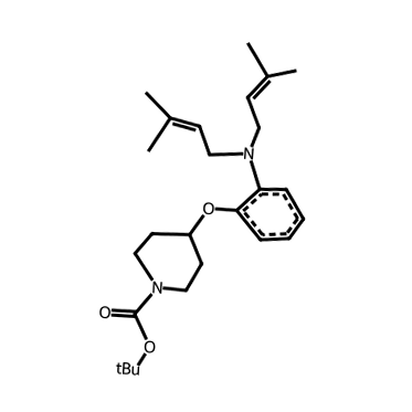 CC(C)=CCN(CC=C(C)C)c1ccccc1OC1CCN(C(=O)OC(C)(C)C)CC1